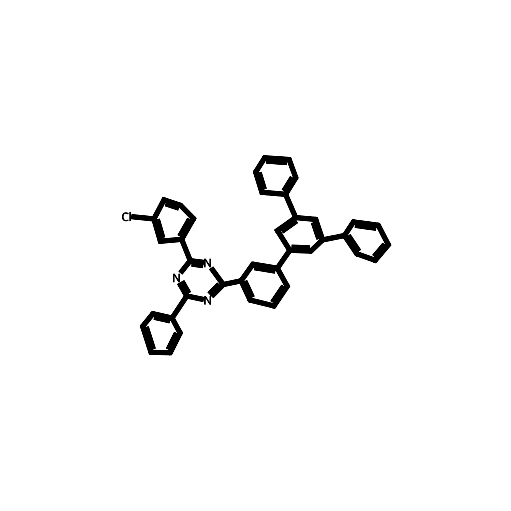 Clc1cccc(-c2nc(-c3ccccc3)nc(-c3cccc(-c4cc(-c5ccccc5)cc(-c5ccccc5)c4)c3)n2)c1